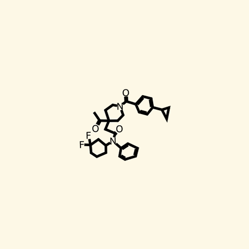 CC(=O)C1(CC(=O)N(c2ccccc2)C2CCCC(F)(F)C2)CCN(C(=O)c2ccc(C3CC3)cc2)CC1